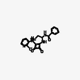 CC(C)(C)CC(NC(=O)c1ccccc1)Nc1c(Nc2cccnc2Cl)c(=O)c1=O